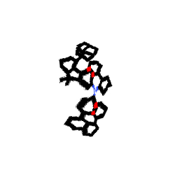 CC1(C)c2cc(N(c3ccc(-c4cccc5cccc(-c6ccccc6)c45)cc3)c3ccccc3-c3ccccc3)ccc2-c2c(C34CC5CC(CC(C5)C3)C4)cccc21